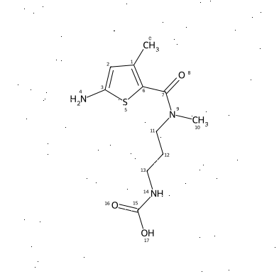 Cc1cc(N)sc1C(=O)N(C)CCCNC(=O)O